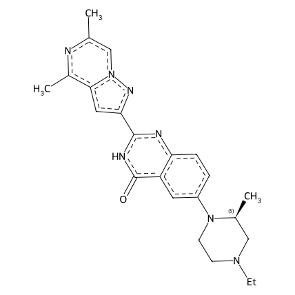 CCN1CCN(c2ccc3nc(-c4cc5c(C)nc(C)cn5n4)[nH]c(=O)c3c2)[C@@H](C)C1